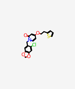 O=c1cc(OCCc2cccs2)ccn1Cc1cc2c(cc1Cl)OCO2